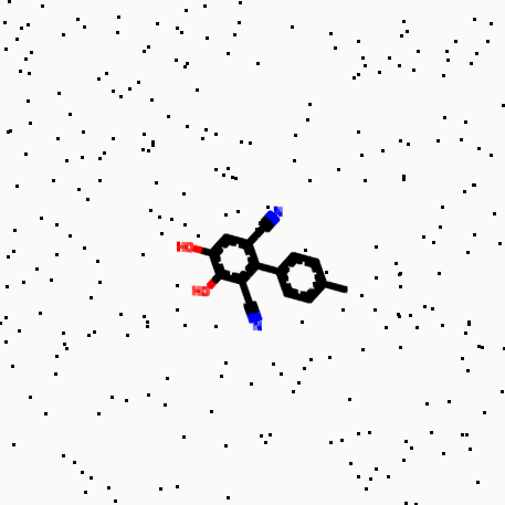 Cc1ccc(-c2c(C#N)cc(O)c(O)c2C#N)cc1